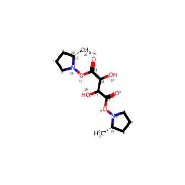 C[C@H]1CCCN1OC(=O)C(O)C(O)C(=O)ON1CCC[C@@H]1C